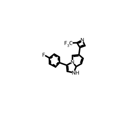 Fc1ccc(C2=CNC3C=CC(C4=CN=C4C(F)(F)F)=CN23)cc1